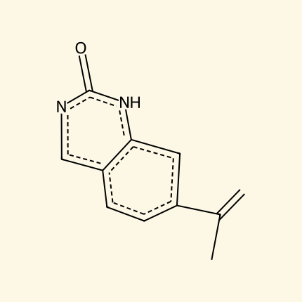 C=C(C)c1ccc2cnc(=O)[nH]c2c1